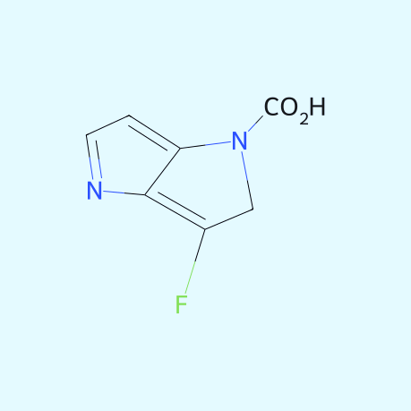 O=C(O)N1CC(F)=C2N=CC=C21